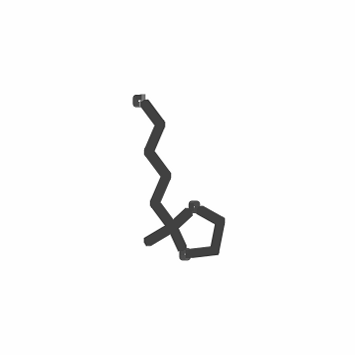 CC1(CCCCCl)OCCO1